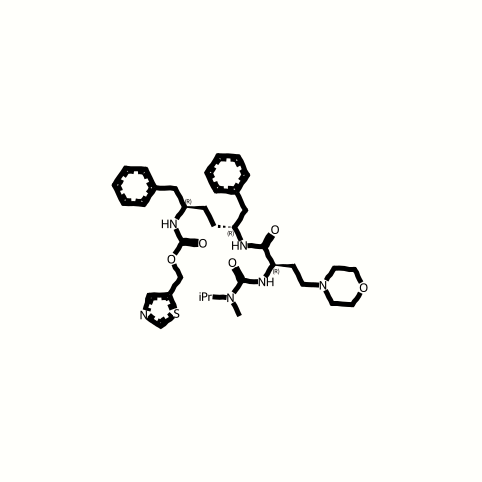 CC(C)N(C)C(=O)N[C@H](CCN1CCOCC1)C(=O)N[C@H](CC[C@H](Cc1ccccc1)NC(=O)OCc1cncs1)Cc1ccccc1